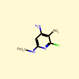 CCOC(=O)Nc1cc(N)c([N+](=O)[O-])c(Cl)n1